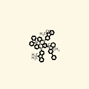 CC1(C)c2ccccc2-c2ccc(N3c4cc(N5c6ccc(-c7ccccc7)cc6C6(C)CCCCC56C)cc5c4B4c6c3cccc6[Si](c3ccccc3)(c3ccccc3)c3cccc(c34)N5c3ccc4c(c3)C(C)(C)c3ccccc3-4)cc21